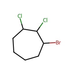 ClC1CCCCC(Br)C1Cl